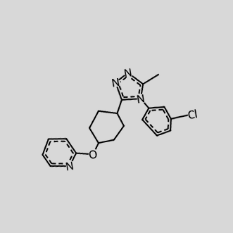 Cc1nnc(C2CCC(Oc3ccccn3)CC2)n1-c1cccc(Cl)c1